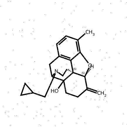 C=C1CCC2(O)C3Cc4ccc(C)c5c4[C@@]2(CCN3CC2CC2)[C@H]1O5